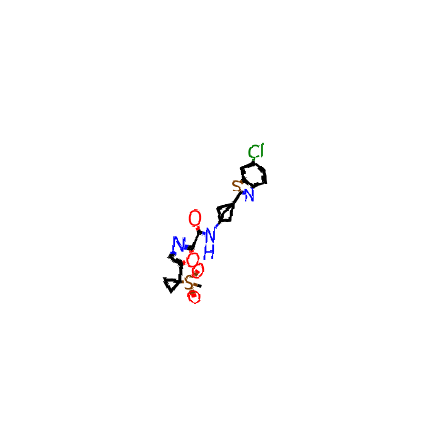 CS(=O)(=O)C1(c2cnc(C(=O)NC34CC(c5nc6ccc(Cl)cc6s5)(C3)C4)o2)CC1